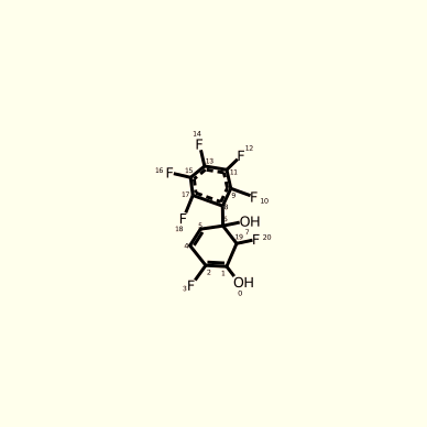 OC1=C(F)C=CC(O)(c2c(F)c(F)c(F)c(F)c2F)C1F